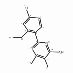 Cc1nc(-c2ccc(Cl)cc2CI)nc(Cl)c1C